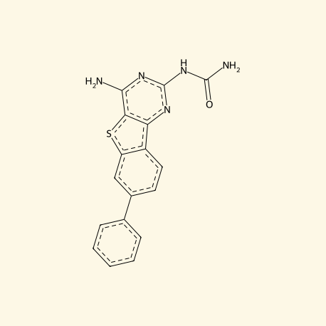 NC(=O)Nc1nc(N)c2sc3cc(-c4ccccc4)ccc3c2n1